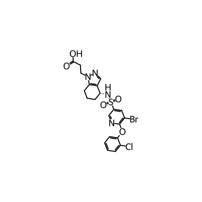 O=C(O)CCn1ncc2c1CCC[C@H]2NS(=O)(=O)c1cnc(Oc2ccccc2Cl)c(Br)c1